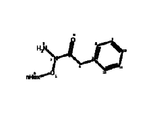 CCCCCCON(N)C(=O)Cc1ccccc1